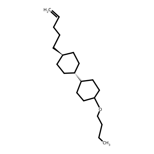 C=CCCC[C@H]1CC[C@H](C2CCC(OCCCC)CC2)CC1